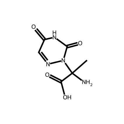 CC(N)(C(=O)O)n1ncc(=O)[nH]c1=O